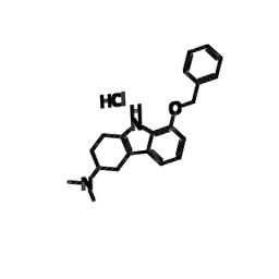 CN(C)C1CCc2[nH]c3c(OCc4ccccc4)cccc3c2C1.Cl